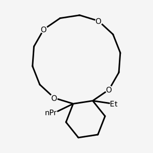 CCCC12CCCCC1(CC)OCCCOCCOCCCO2